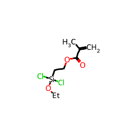 C=C(C)C(=O)OCC[Si](Cl)(Cl)OCC